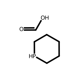 C1CCPCC1.O=CO